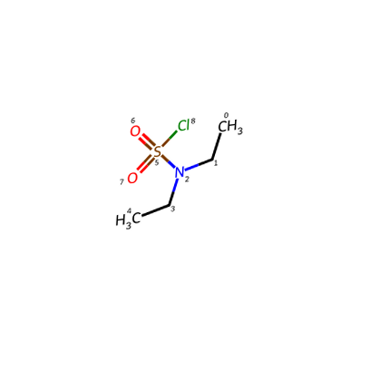 CCN(CC)S(=O)(=O)Cl